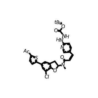 CC(=O)c1ccc(-c2cc(Cl)c3c(c2)CC(N(C)C(=O)/C=C\c2ccc(NNC(=O)OC(C)(C)C)nc2)O3)s1